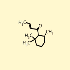 CC=CC(=O)[C@H]1[C@@H](C)CCCC1(C)C